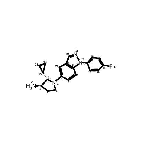 N[C@@H]1CCN(c2ccc3c(cnn3-c3ccc(F)cc3)c2)[C@H]1C1CC1